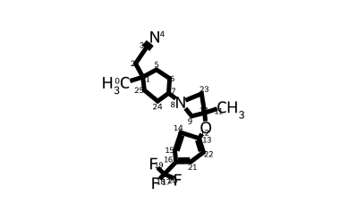 CC1(CC#N)CCC(N2CC(C)(Oc3ccc(C(F)(F)F)cc3)C2)CC1